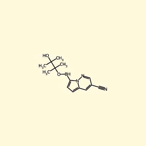 CC(C)(O)C(C)(C)OBc1ccc2cc(C#N)cnn12